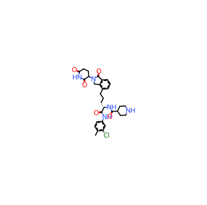 Cc1ccc(NC(=O)[C@H](CCCc2cccc3c2CN(C2CCC(=O)NC2=O)C3=O)NC(=O)C2CCNCC2)cc1Cl